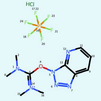 CN(C)C(On1nnc2cccnc21)=[N+](C)C.Cl.F[P-](F)(F)(F)(F)F